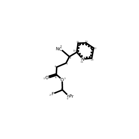 CCCC(F)OC(=O)CCC(C#N)c1ccccn1